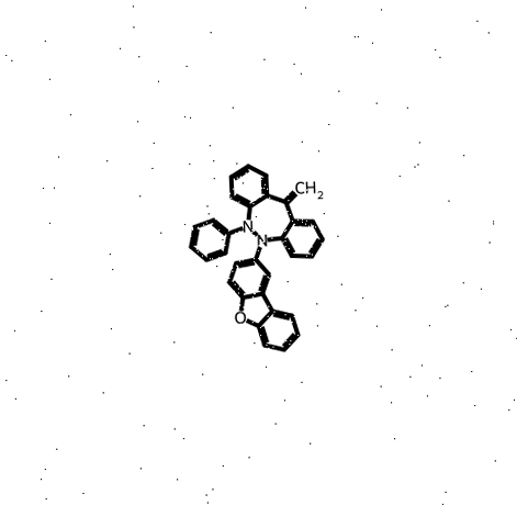 C=C1c2ccccc2N(c2ccccc2)N(c2ccc3oc4ccccc4c3c2)c2ccccc21